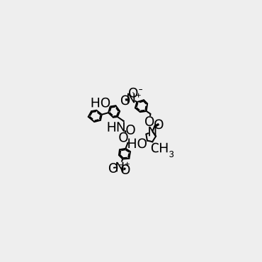 CC1CN(C(=O)OCc2ccc([N+](=O)[O-])cc2)C[C@@H]1O.O=C(NCc1ccc(O)c(-c2ccccc2)c1)OCc1ccc([N+](=O)[O-])cc1